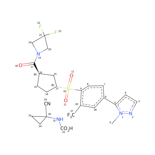 Cn1nccc1-c1ccc(S(=O)(=O)[C@@H]2CC[C@@H](C(=O)N3CC(F)(F)C3)C2)c(C(F)(F)F)c1.N#CC1(NC(=O)O)CC1